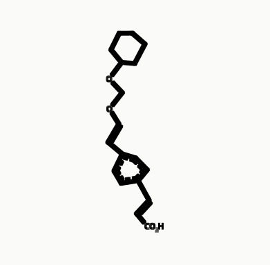 O=C(O)C=Cc1ccc(C=COCOC2CCCCC2)cc1